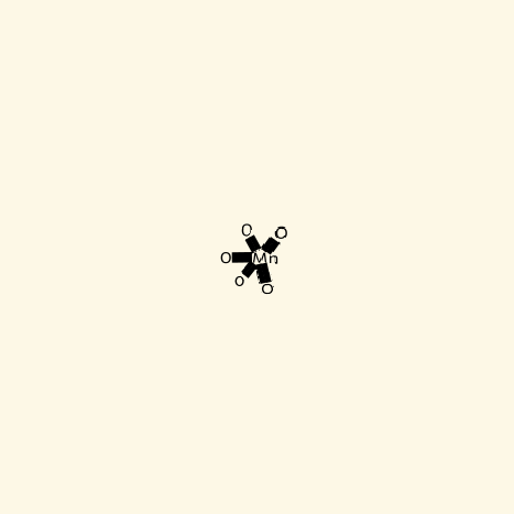 [O]=[Mn](=[O])(=[O])(=[O])=[O]